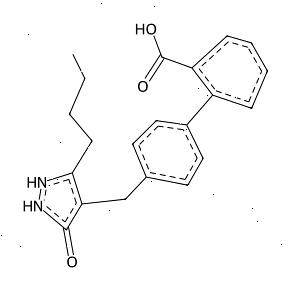 CCCCc1[nH][nH]c(=O)c1Cc1ccc(-c2ccccc2C(=O)O)cc1